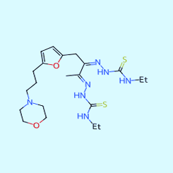 CCNC(=S)N/N=C(Cc1ccc(CCCN2CCOCC2)o1)\C(C)=N\NC(=S)NCC